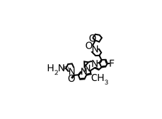 Cc1c(-c2cc3cc(F)cc(C4CCN(C(=O)C5CCCCO5)CC4)c3n2CC2CC2)nn2cc(C(=O)N3CCC[C@@H](N)C3)ccc12